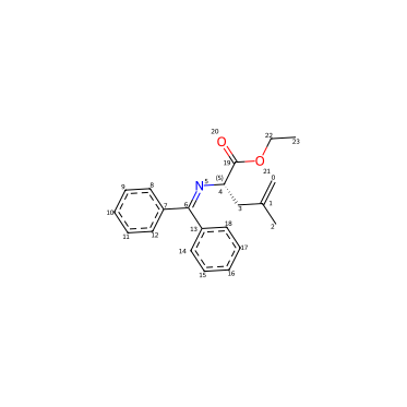 C=C(C)C[C@H](N=C(c1ccccc1)c1ccccc1)C(=O)OCC